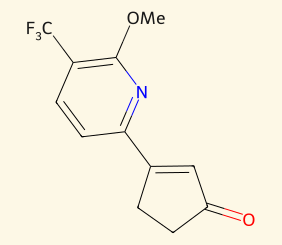 COc1nc(C2=CC(=O)CC2)ccc1C(F)(F)F